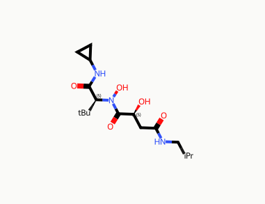 CC(C)CNC(=O)C[C@H](O)C(=O)N(O)[C@H](C(=O)NC1CC1)C(C)(C)C